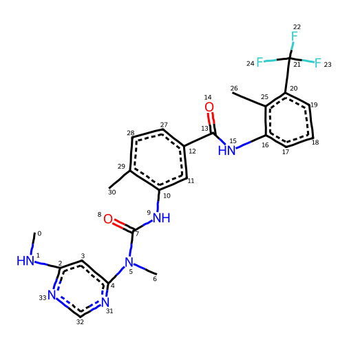 CNc1cc(N(C)C(=O)Nc2cc(C(=O)Nc3cccc(C(F)(F)F)c3C)ccc2C)ncn1